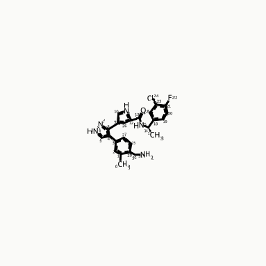 Cc1cc(-c2c[nH]nc2-c2c[nH]c(C(=O)N[C@H](C)c3ccc(F)c(Cl)c3)c2)ccc1CN